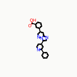 O=C(O)c1cccc(-c2cnn3c(-c4ccnc(-c5ccccc5)c4)cnc3c2)c1